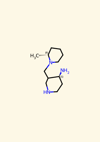 C[C@@H]1CCCCN1CC1CNCC[C@@H]1N